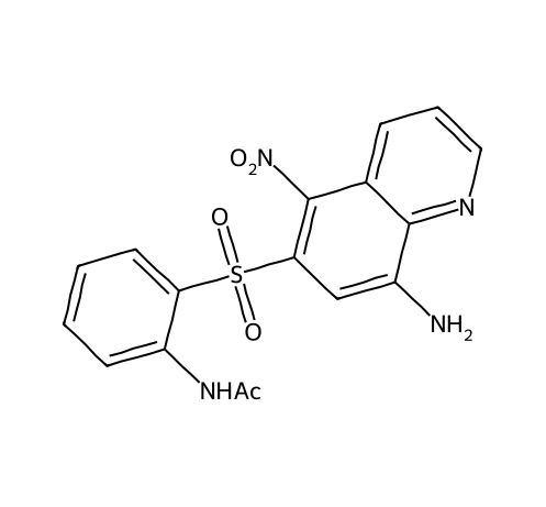 CC(=O)Nc1ccccc1S(=O)(=O)c1cc(N)c2ncccc2c1[N+](=O)[O-]